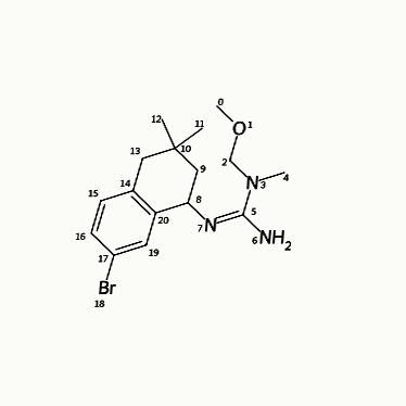 COCN(C)/C(N)=N\C1CC(C)(C)Cc2ccc(Br)cc21